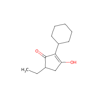 CCC1CC(O)=C(C2CCCCC2)C1=O